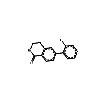 O=C1NCCc2cc(-c3ccccc3F)ccc21